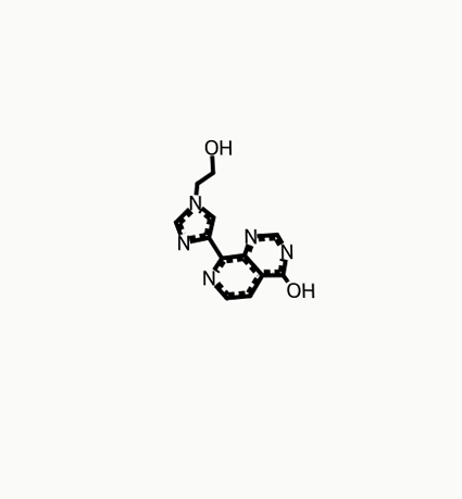 OCCn1cnc(-c2nccc3c(O)ncnc23)c1